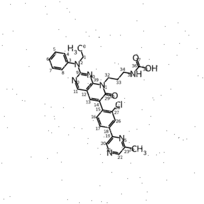 CCN(c1ccccc1)c1ncc2cc(-c3ccc(-c4cncc(C)n4)cc3Cl)c(=O)n(CCCNC(=O)O)c2n1